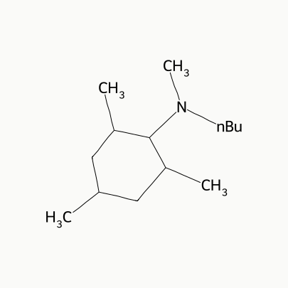 CCCCN(C)C1C(C)CC(C)CC1C